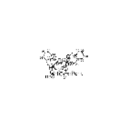 CCCCCC1(C)O[C@@H]2[C@@H](O1)[C@H](OCCCC)[C@@H]1CC3(CCCCC3)O[C@@H]1[C@H]2OP1(=O)OCc2ccccc2CO1